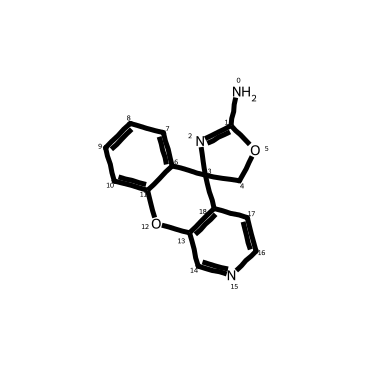 NC1=NC2(CO1)c1ccccc1Oc1cnccc12